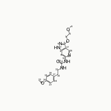 COCCOc1n[nH]c2cc(NC(=O)NCCc3ccc(OC)cc3)ncc12